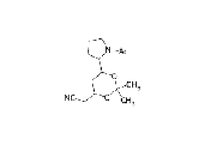 CC(=O)N1CCCC1C1CC(CC#N)OC(C)(C)O1